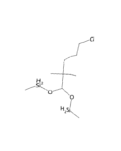 C[SiH2]OC(O[SiH2]C)C(C)(C)CCCCl